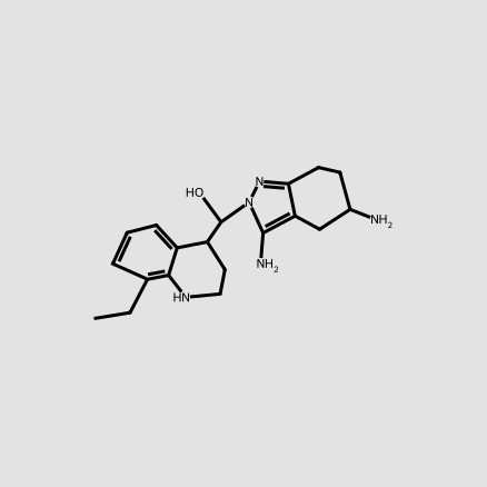 CCc1cccc2c1NCCC2C(O)n1nc2c(c1N)CC(N)CC2